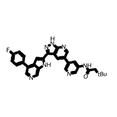 CC(C)(C)CC(=O)Nc1cncc(-c2cnc3[nH]nc(-c4cc5c(-c6ccc(F)cc6)cncc5[nH]4)c3c2)c1